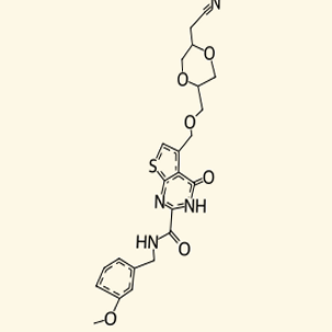 COc1cccc(CNC(=O)c2nc3scc(COCC4COC(CC#N)CO4)c3c(=O)[nH]2)c1